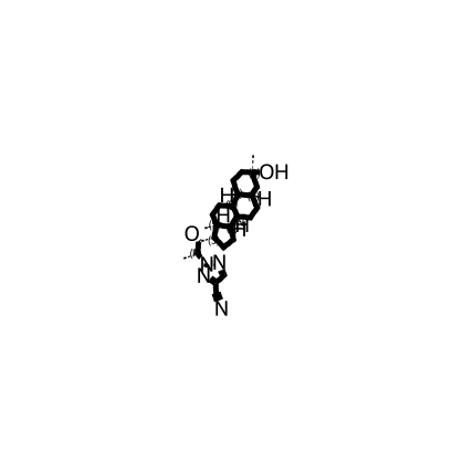 C[C@H](C(=O)[C@H]1CC[C@H]2[C@@H]3CC[C@@H]4C[C@](C)(O)CC[C@@H]4[C@H]3CC[C@]12C)n1ncc(C#N)n1